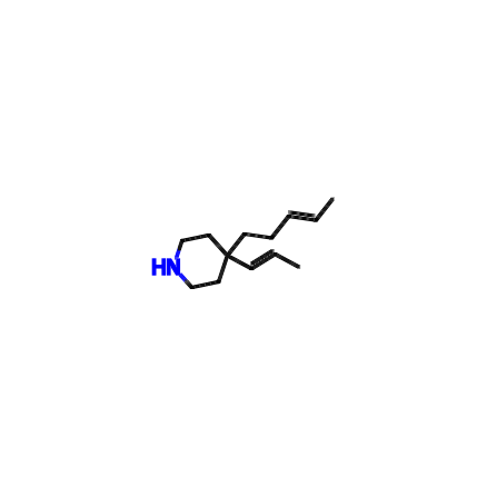 C/C=C/CCC1(/C=C/C)CCNCC1